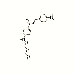 COCOCON(C)c1ccc(C(=O)C=Cc2ccc(N(C)C)cc2)cc1